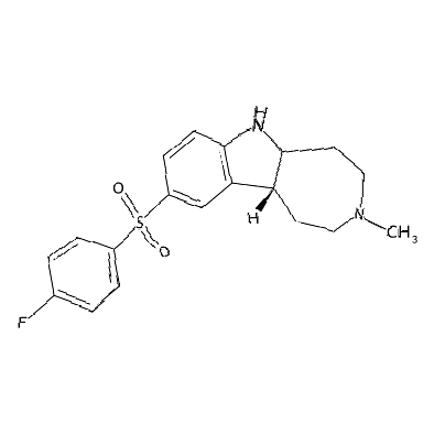 CN1CCC2Nc3ccc(S(=O)(=O)c4ccc(F)cc4)cc3[C@H]2CC1